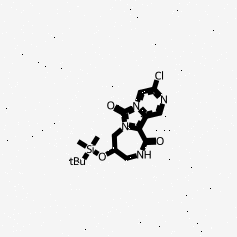 CC(C)(C)[Si](C)(C)OC1CNC(=O)c2c3cnc(Cl)cn3c(=O)n2C1